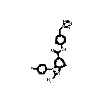 Cc1nc2ccc(C(=O)Nc3ccc(Cn4ncnn4)cc3)cc2n1-c1ccc(F)cc1